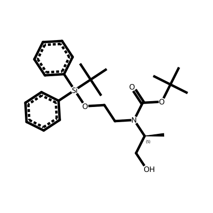 C[C@@H](CO)N(CCO[Si](c1ccccc1)(c1ccccc1)C(C)(C)C)C(=O)OC(C)(C)C